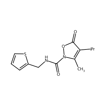 Cc1c(C(C)C)c(=O)on1C(=O)NCc1cccs1